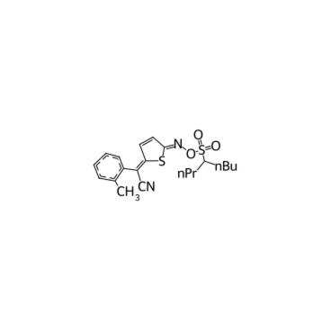 CCCCC(CCC)S(=O)(=O)ON=C1C=CC(=C(C#N)c2ccccc2C)S1